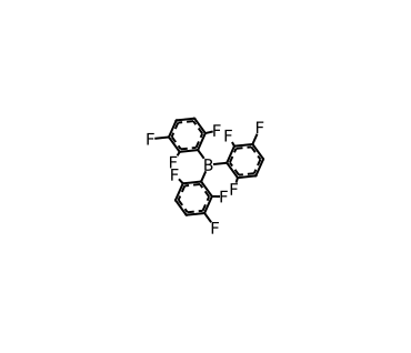 Fc1ccc(F)c(B(c2c(F)ccc(F)c2F)c2c(F)ccc(F)c2F)c1F